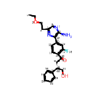 CCOCCc1cnc(N)c(-c2ccc(C(=O)C[C@H](CO)c3ccccc3)c(F)c2)n1